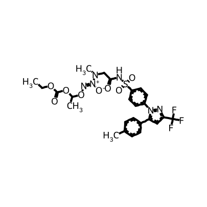 CCOC(=O)OC(C)ON=[N+]([O-])N(C)CC(=O)NS(=O)(=O)c1ccc(-n2nc(C(F)(F)F)cc2-c2ccc(C)cc2)cc1